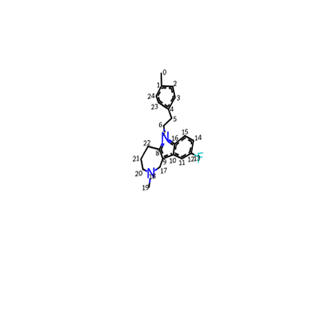 Cc1ccc(CCn2c3c(c4cc(F)ccc42)CN(C)CCC3)cc1